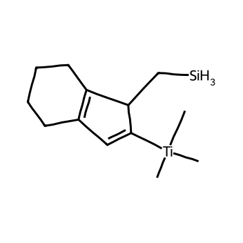 [CH3][Ti]([CH3])([CH3])[C]1=CC2=C(CCCC2)C1C[SiH3]